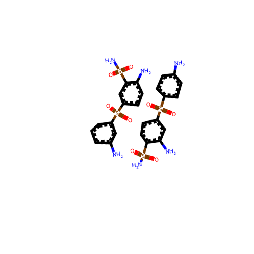 Nc1ccc(S(=O)(=O)c2ccc(S(N)(=O)=O)c(N)c2)cc1.Nc1cccc(S(=O)(=O)c2ccc(N)c(S(N)(=O)=O)c2)c1